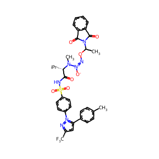 Cc1ccc(-c2cc(C(F)(F)F)nn2-c2ccc(S(=O)(=O)NC(=O)[C@H](C(C)C)N(C)/[N+]([O-])=N\OC(C)N3C(=O)c4ccccc4C3=O)cc2)cc1